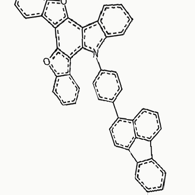 c1ccc2c(c1)-c1cccc3c(-c4ccc(-n5c6ccccc6c6c7oc8ccccc8c7c7oc8ccccc8c7c65)cc4)ccc-2c13